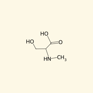 CNC(CO)C(=O)O